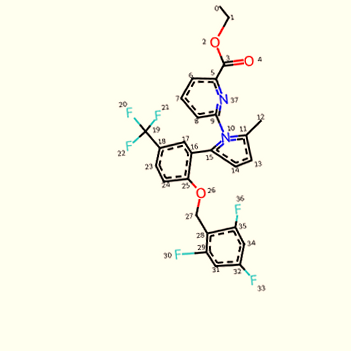 CCOC(=O)c1cccc(-n2c(C)ccc2-c2cc(C(F)(F)F)ccc2OCc2c(F)cc(F)cc2F)n1